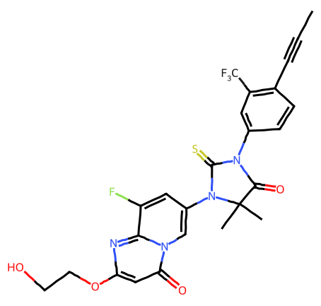 CC#Cc1ccc(N2C(=O)C(C)(C)N(c3cc(F)c4nc(OCCO)cc(=O)n4c3)C2=S)cc1C(F)(F)F